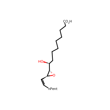 CCCCC/C=C\[C@@H]1O[C@H]1[C@@H](O)CCCCCCCC(=O)O